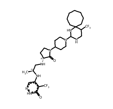 C[C@@H](CN[C@@H]1CCN(C2CCN(C3NCC(C(F)(F)F)C4(CCCCCCC4)N3)CC2)C1=O)Nc1cn[nH]c(=O)c1C(F)(F)F